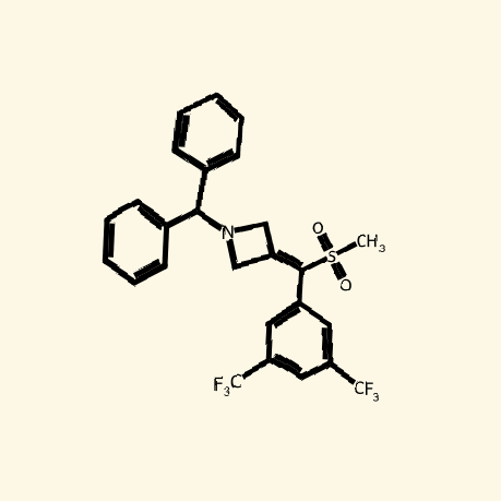 CS(=O)(=O)C(=C1CN(C(c2ccccc2)c2ccccc2)C1)c1cc(C(F)(F)F)cc(C(F)(F)F)c1